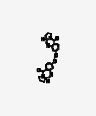 O=C1c2ccc(OCOc3ccc4c(c3)N=C[C@@H]3CCCN3C4=O)cc2N=C[C@@H]2CCCN12